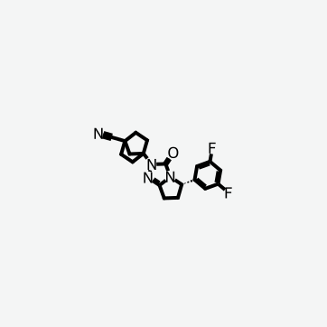 N#CC12CCC(n3nc4n(c3=O)[C@H](c3cc(F)cc(F)c3)CC4)(CC1)C2